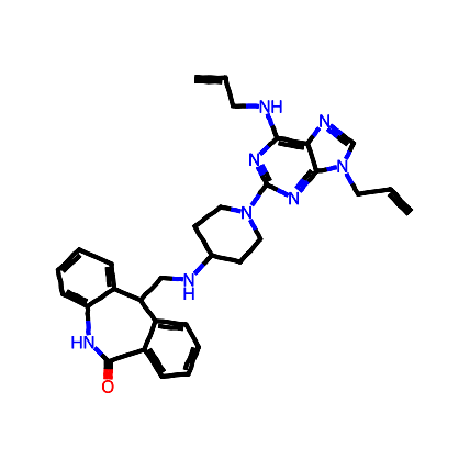 C=CCNc1nc(N2CCC(NCC3c4ccccc4NC(=O)c4ccccc43)CC2)nc2c1ncn2CC=C